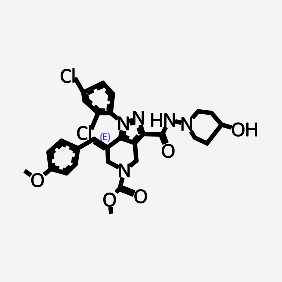 COC(=O)N1C/C(=C\c2ccc(OC)cc2)c2c(c(C(=O)NN3CCC(O)CC3)nn2-c2ccc(Cl)cc2Cl)C1